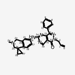 C=CCn1nc(-c2ccccc2)c2nc(Nc3ccc4c(c3)CN(C)CC43CC3)ncc2c1=O